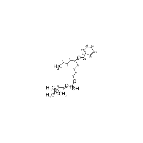 CCCCC(CCCCOP(O)OCC[N+](C)(C)C)OCc1ccccc1